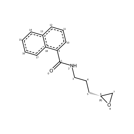 O=C(NCCC[C@@H]1CO1)c1cccc2ccccc12